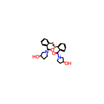 O=C(c1ccccc1SSc1ccccc1C(=O)N1CCC(O)C1)N1CCC(O)C1